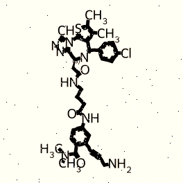 Cc1sc2c(c1C)C(c1ccc(Cl)cc1)=N[C@@H](CC(=O)NCCCC(=O)Nc1ccc(C(=O)N(C)C)c(C#CCN)c1)c1nnc(C)n1-2